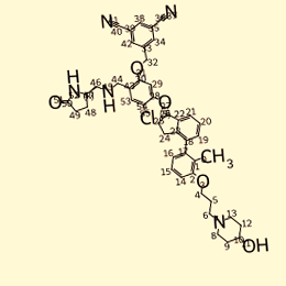 Cc1c(OCCCN2CCC(O)CC2)cccc1-c1cccc2c1CC[C@@H]2Oc1cc(OCc2cc(C#N)cc(C#N)c2)c(CNC[C@H]2CCC(=O)N2)cc1Cl